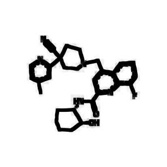 Cc1ccnc(C2(C#N)CCN(Cc3cc(C(=O)N[C@H]4CCCC[C@@H]4O)nc4c(F)cccc34)CC2)c1